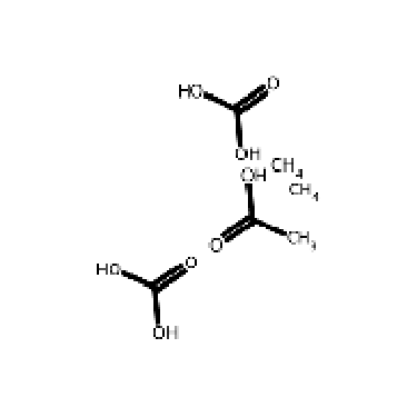 C.C.CC(=O)O.O=C(O)O.O=C(O)O